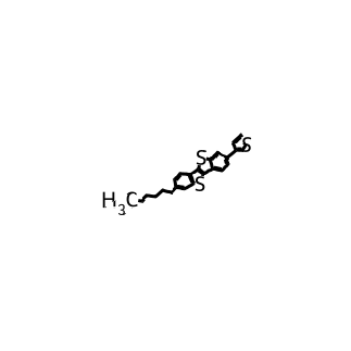 CCCCCCc1ccc2c(c1)sc1c3ccc(-c4ccsc4)cc3sc21